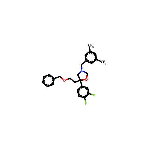 Fc1ccc(C2(CCOCc3ccccc3)CN(Cc3cc(C(F)(F)F)cc(C(F)(F)F)c3)CO2)cc1F